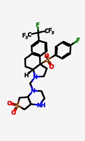 O=S1(=O)CC2NCCN(CN3CC[C@@]4(S(=O)(=O)c5ccc(F)cc5)c5ccc(C(F)(C(F)(F)F)C(F)(F)F)cc5CC[C@@H]34)C2C1